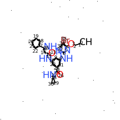 C#CCOc1nc(Nc2cc(NC(=O)CC(N)c3ccccc3)cc(C(=O)NC3CC3)c2)ncc1Br